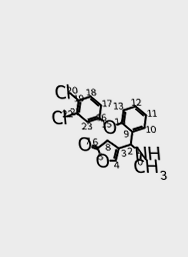 CNC(C1=COC(=O)C1)c1ccccc1Oc1ccc(Cl)c(Cl)c1